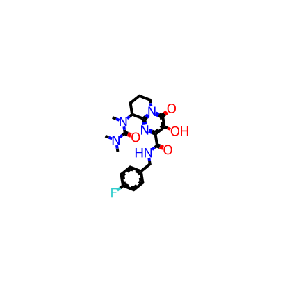 CN(C)C(=O)N(C)C1CCCn2c1nc(C(=O)NCc1ccc(F)cc1)c(O)c2=O